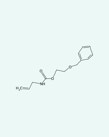 C=CCNC(=O)OCCOCc1ccccc1